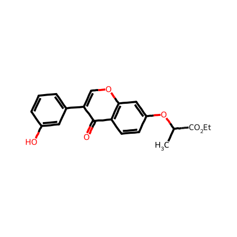 CCOC(=O)C(C)Oc1ccc2c(=O)c(-c3cccc(O)c3)coc2c1